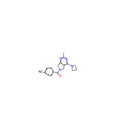 Cc1nc2c(c(N3CCC3)n1)CN(C(=O)c1ccc(C#N)cc1)C2